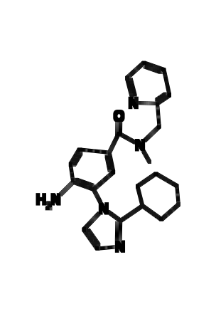 CN(Cc1ccccn1)C(=O)c1ccc(N)c(-n2ccnc2C2CCCCC2)c1